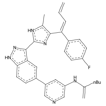 C=C/C=C(/c1ccc(F)cc1)c1nc(-c2n[nH]c3ccc(-c4cncc(NC(=C)CCCC)c4)cc23)[nH]c1C